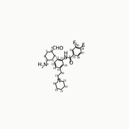 NC1CCC(C=O)CC1.O=C(Nc1cccc(CCN2CCCCC2)c1)c1ccc(F)c(F)c1